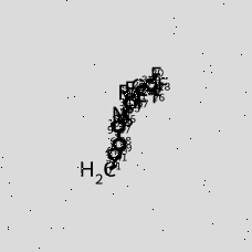 C=Cc1ccc2cc(-c3ccc4nc(-c5cc(F)c(C(F)(F)Oc6cc(F)c(F)c(F)c6)c(F)c5)sc4c3)ccc2c1